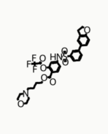 O=C(OCCCCN1CCOCC1)c1ccc(NS(=O)(=O)c2cccc(-c3ccc4c(c3)CCO4)c2)cc1OC(=O)C(F)(F)F